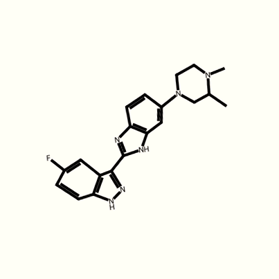 CC1CN(c2ccc3nc(-c4n[nH]c5ccc(F)cc45)[nH]c3c2)CCN1C